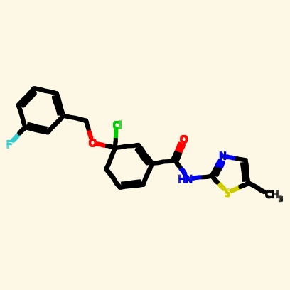 Cc1cnc(NC(=O)C2=CC(Cl)(OCc3cccc(F)c3)CC=C2)s1